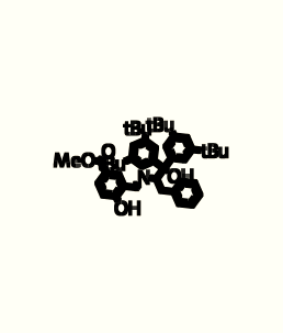 COC(=O)c1ccc(O)c(C=NC(Cc2ccccc2)C(O)(c2cc(C(C)(C)C)cc(C(C)(C)C)c2)c2cc(C(C)(C)C)cc(C(C)(C)C)c2)c1